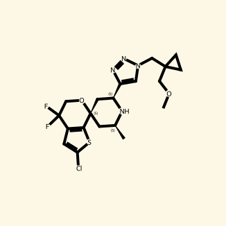 COCC1(Cn2cc([C@@H]3C[C@]4(C[C@H](C)N3)OCC(F)(F)c3cc(Cl)sc34)nn2)CC1